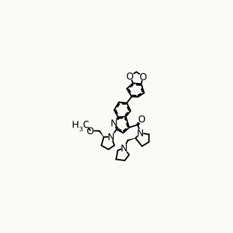 COC[C@@H]1CCCN1c1cc(C(=O)N2CCC[C@H]2CN2CCCC2)c2cc(-c3ccc4c(c3)OCO4)ccc2n1